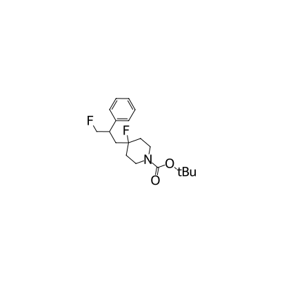 CC(C)(C)OC(=O)N1CCC(F)(CC(CF)c2ccccc2)CC1